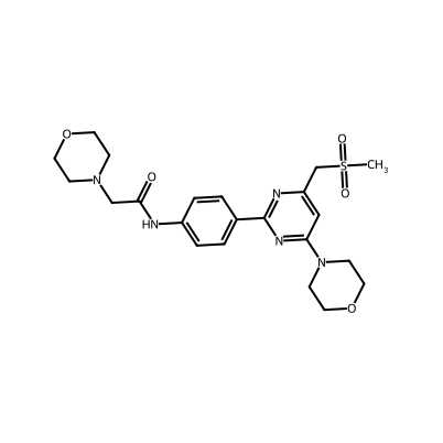 CS(=O)(=O)Cc1cc(N2CCOCC2)nc(-c2ccc(NC(=O)CN3CCOCC3)cc2)n1